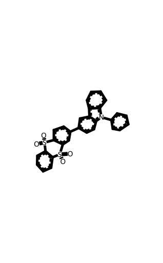 O=S1(=O)c2ccccc2S(=O)(=O)c2cc(-c3ccc4c(c3)c3ccccc3n4-c3ccccc3)ccc21